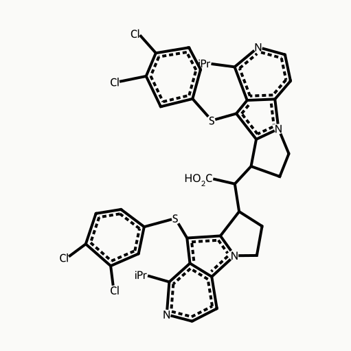 CC(C)c1nccc2c1c(Sc1ccc(Cl)c(Cl)c1)c1n2CCC1C(C(=O)O)C1CCn2c1c(Sc1ccc(Cl)c(Cl)c1)c1c(C(C)C)nccc12